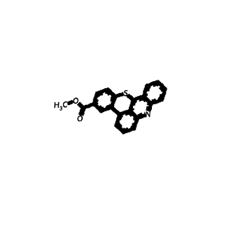 COC(=O)c1ccc2c(c1)-c1cccc3nc4ccccc4c(c13)S2